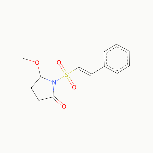 COC1CCC(=O)N1S(=O)(=O)C=Cc1ccccc1